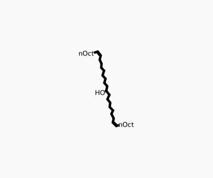 CCCCCCCC/C=C\CCCCCCCCC(O)CCCCCCC/C=C\CCCCCCCC